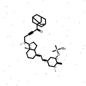 C=C1[C@H](C)C/C(=C/C=C2\CCC[C@@]3(C)C2CC[C@@H]3[C@H](C)CC#CC(=O)C23CC4CC(CC(C4)C2)C3)C[C@H]1O[Si](C)(C)C(C)(C)C